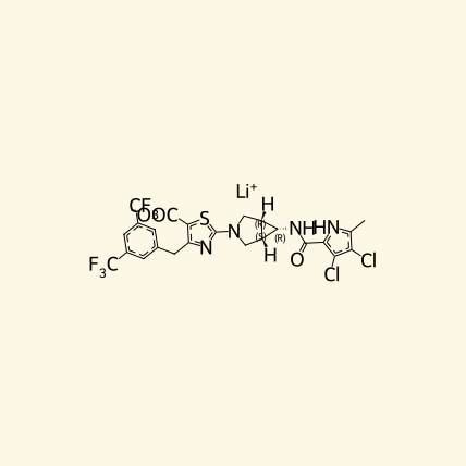 Cc1[nH]c(C(=O)N[C@@H]2[C@@H]3CN(c4nc(Cc5cc(C(F)(F)F)cc(C(F)(F)F)c5)c(C(=O)[O-])s4)C[C@@H]32)c(Cl)c1Cl.[Li+]